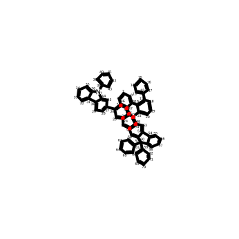 c1ccc(-c2ccccc2-c2c(-c3ccccc3)cccc2N(c2ccc(-c3ccc4c5ccccc5n(-c5ccccc5)c4c3)cc2)c2ccc3c(c2)-c2ccccc2C3(c2ccccc2)c2ccccc2)cc1